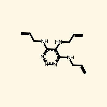 C=CCNc1nnnc(NCC=C)c1NCC=C